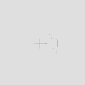 CN1CC2SC2C1C(C)(C)O